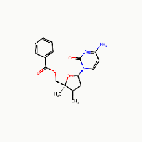 CC1C[C@H](n2ccc(N)nc2=O)O[C@]1(C)COC(=O)c1ccccc1